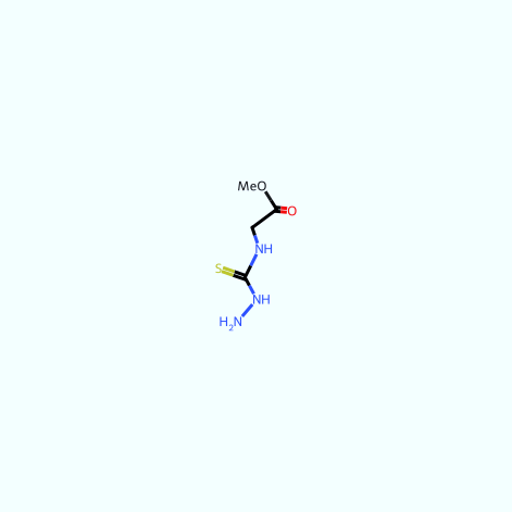 COC(=O)CNC(=S)NN